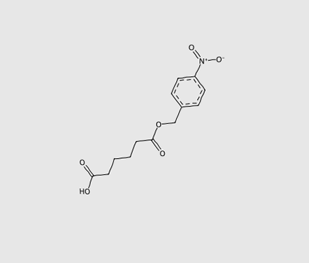 O=C(O)CCCCC(=O)OCc1ccc([N+](=O)[O-])cc1